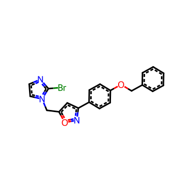 Brc1nccn1Cc1cc(-c2ccc(OCc3ccccc3)cc2)no1